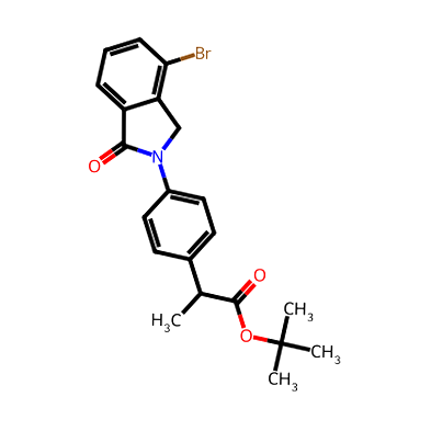 CC(C(=O)OC(C)(C)C)c1ccc(N2Cc3c(Br)cccc3C2=O)cc1